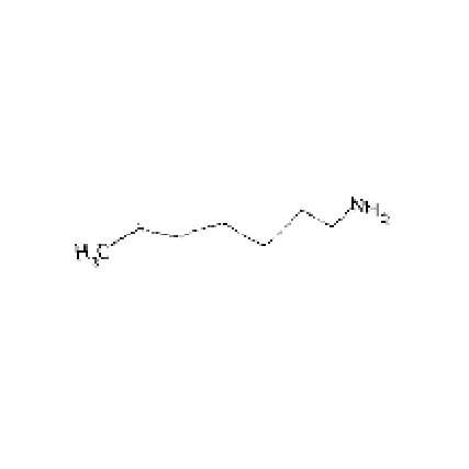 C[CH]CCCCCN